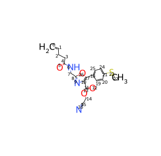 C=CCCC(=O)NCc1nc(C(=O)OCC#N)c(-c2ccc(SC)cc2)o1